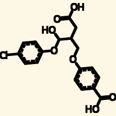 O=C(O)CC(COc1ccc(C(=O)O)cc1)C(O)Oc1ccc(Cl)cc1